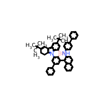 CC(C)(C)C1=Cc2c(n3c4c(cc(C(C)(C)C)cc24)Bc2c(-c4c(Nc5ccc(-c6ccccc6)cc5)ccc5ccccc45)cc(-c4ccccc4)cc2-3)CC1